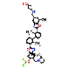 Cc1c(-c2nc3cc(CN4CCC[C@H]4C(=O)O)c(OC(F)F)cc3o2)cccc1-c1cccc(-c2nc3cc(CNC4CC(O)C4)cc(C#N)c3o2)c1C